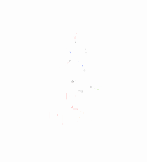 C[C@]1(O)[C@H](n2ccc(=O)[nH]c2=O)O[C@]2(F)C(OP(=O)(O)OP(=O)(O)O)[C@]12O